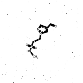 CNS(=O)(=O)CCn1cc(C=O)cn1